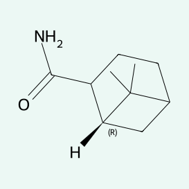 CC1(C)C2CCC(C(N)=O)[C@H]1C2